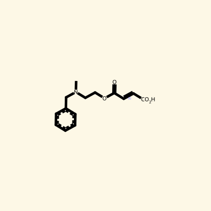 CN(CCOC(=O)/C=C/C(=O)O)Cc1ccccc1